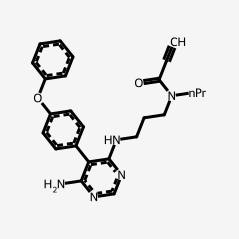 C#CC(=O)N(CCC)CCCNc1ncnc(N)c1-c1ccc(Oc2ccccc2)cc1